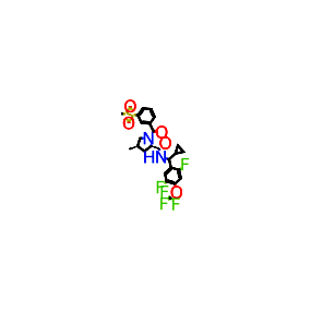 C[C@@H]1C[C@H](C(=O)NC(c2cc(F)c(OC(F)(F)F)cc2F)C2CC2)N(C(=O)c2cccc(S(C)(=O)=O)c2)C1